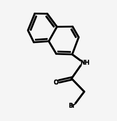 O=C(CBr)Nc1ccc2ccccc2c1